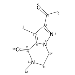 CC(=O)c1nn2c(c1C)C(=O)N(C)CC2